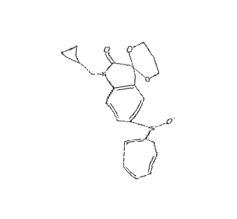 O=C1N(CC2CC2)c2ccc([S+]([O-])c3ccccc3)cc2C12OCCCO2